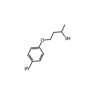 CC(S)CCOc1ccc(C(C)C)cc1